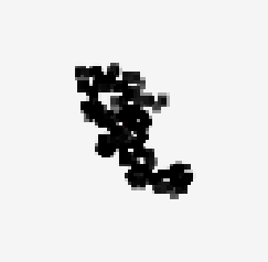 CC(C)C[C@H](NC(=O)[C@H](Cc1ccccc1)NC(=O)[C@@H]1CCCN1C(=O)[C@H](Cc1c[nH]cn1)NC(=O)[C@H](CC(=O)O)NC(=O)[C@H](C)NC(=O)[C@@H](N)CC(C)C)C(=O)N[C@@H](Cc1ccccc1)C(=O)O